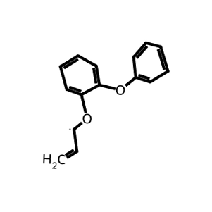 C=C[CH]Oc1ccccc1Oc1ccccc1